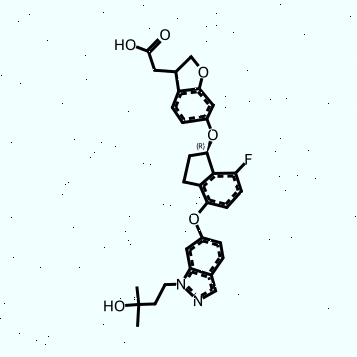 CC(C)(O)CCn1ncc2ccc(Oc3ccc(F)c4c3CC[C@H]4Oc3ccc4c(c3)OCC4CC(=O)O)cc21